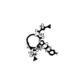 Cc1nc2ccc(F)cc2nc1O[C@@H]1C[C@H]2C(=O)N[C@]3(C(=O)NS(=O)(=O)C4CC4)C[C@H]3/C=C\CCCCC[C@H](NC(=O)c3cc(C4CC4)on3)C(=O)N2C1